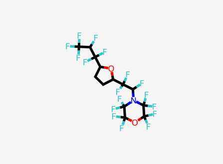 FC(N1C(F)(F)C(F)(F)OC(F)(F)C1(F)F)C(F)(F)C1CCC(C(F)(F)C(F)C(F)(F)F)O1